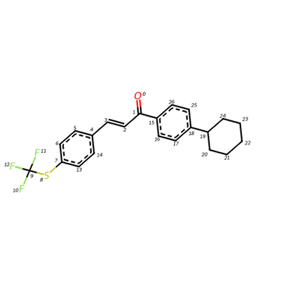 O=C(C=Cc1ccc(SC(F)(F)F)cc1)c1ccc(C2CCCCC2)cc1